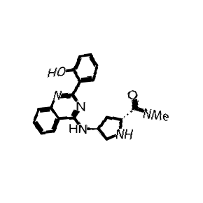 CNC(=O)[C@H]1C[C@H](Nc2nc(-c3ccccc3O)nc3ccccc23)CN1